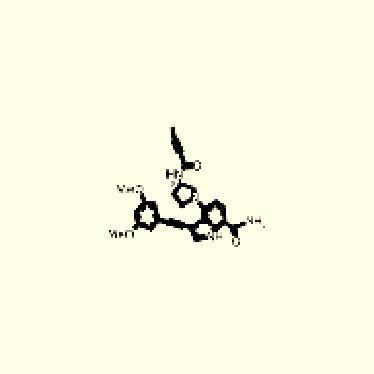 CC#CC(=O)N[C@@H]1CCN(c2ccc(C(N)=O)c3[nH]cc(C#Cc4cc(OC)cc(OC)c4)c23)C1